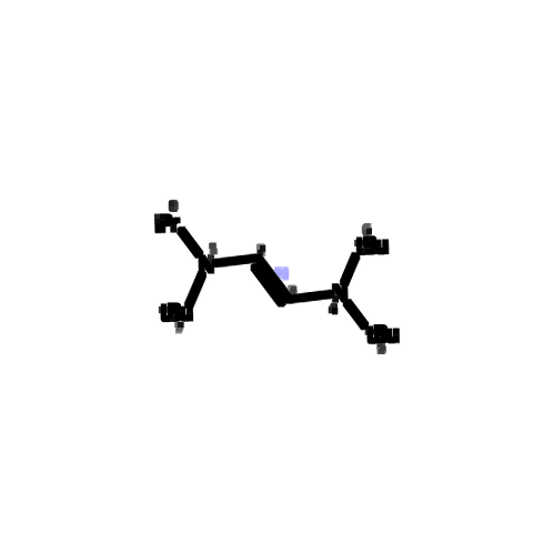 CC(C)N(/C=C/N(C(C)(C)C)C(C)(C)C)C(C)(C)C